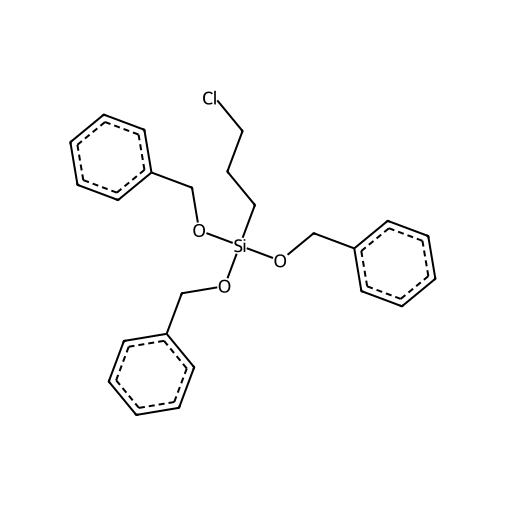 ClCCC[Si](OCc1ccccc1)(OCc1ccccc1)OCc1ccccc1